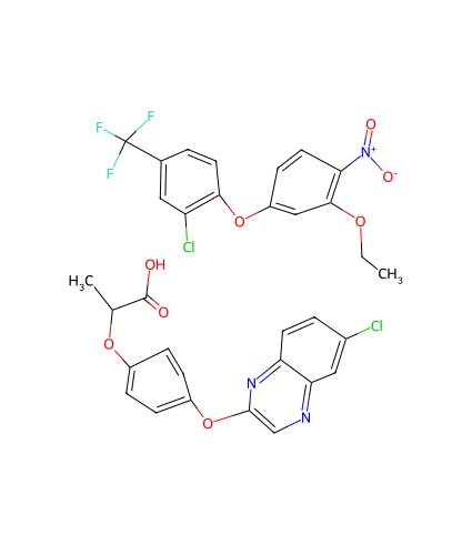 CC(Oc1ccc(Oc2cnc3cc(Cl)ccc3n2)cc1)C(=O)O.CCOc1cc(Oc2ccc(C(F)(F)F)cc2Cl)ccc1[N+](=O)[O-]